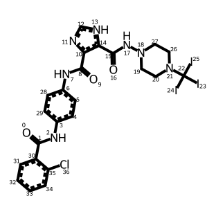 O=C(Nc1ccc(NC(=O)c2nc[nH]c2C(=O)NN2CCN(C(I)(I)I)CC2)cc1)c1ccccc1Cl